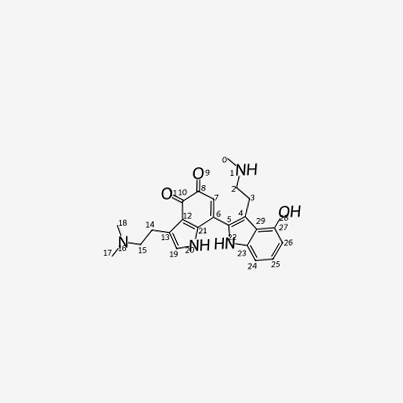 CNCCc1c(C2=CC(=O)C(=O)c3c(CCN(C)C)c[nH]c32)[nH]c2cccc(O)c12